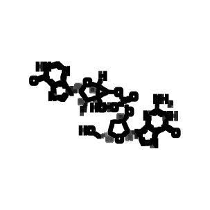 Nc1nc2c(ncn2[C@@H]2O[C@H](CO)C[C@H]2OP(=O)(O)OC2[C@H]3O[C@@H](n4cnc5c(=O)[nH]cnc54)[C@@H](F)[C@@]23O)c(=O)[nH]1